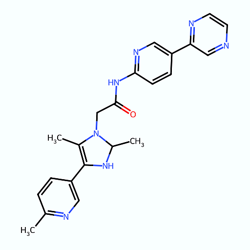 CC1=C(c2ccc(C)nc2)NC(C)N1CC(=O)Nc1ccc(-c2cnccn2)cn1